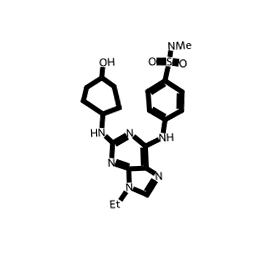 CCn1cnc2c(Nc3ccc(S(=O)(=O)NC)cc3)nc(NC3CCC(O)CC3)nc21